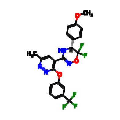 COc1ccc([C@H]2NC(c3cc(C)nnc3Oc3cccc(C(F)(F)F)c3)=NOC2(F)F)cc1